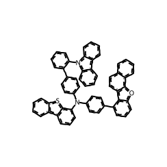 c1ccc(-n2c3ccccc3c3ccccc32)c(-c2ccc(N(c3ccc(-c4cccc5oc6c7ccccc7ccc6c45)cc3)c3cccc4c3sc3ccccc34)cc2)c1